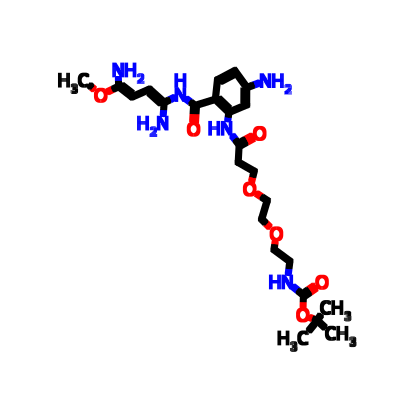 CO/C(N)=C/C=C(\N)NC(=O)c1ccc(N)cc1NC(=O)CCOCCOCCNC(=O)OC(C)(C)C